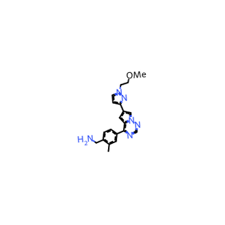 COCCn1ccc(-c2cc3c(-c4ccc(CN)c(C)c4)ncnn3c2)n1